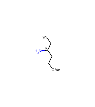 CCCC[C@H](N)CCOC